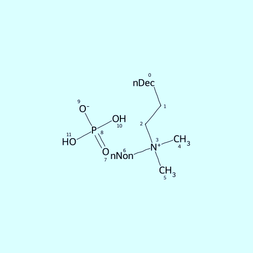 CCCCCCCCCCCC[N+](C)(C)CCCCCCCCC.O=P([O-])(O)O